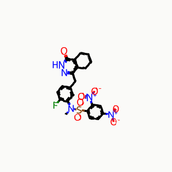 CN(c1cc(Cc2n[nH]c(=O)c3c2CCCC3)ccc1F)S(=O)(=O)c1ccc([N+](=O)[O-])cc1[N+](=O)[O-]